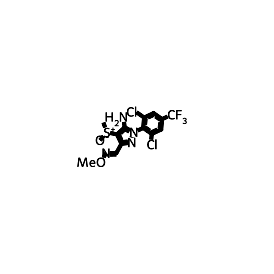 CON=Cc1nn(-c2c(Cl)cc(C(F)(F)F)cc2Cl)c(N)c1[S+](C)[O-]